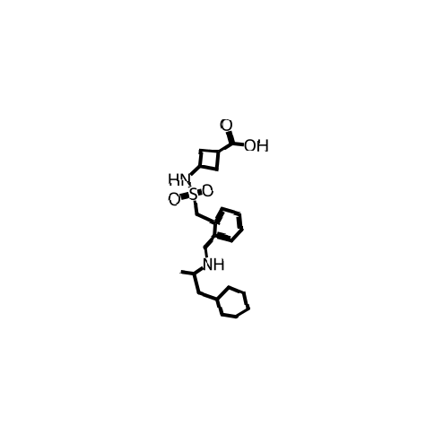 CC(CC1CCCCC1)NCc1ccccc1CS(=O)(=O)NC1CC(C(=O)O)C1